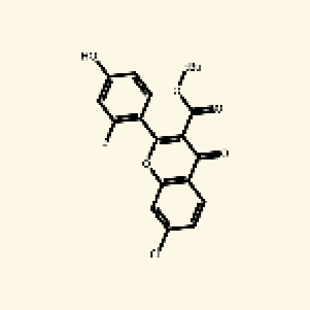 CC(C)(C)OC(=O)c1c(-c2ccc(O)cc2F)oc2cc(Cl)ccc2c1=O